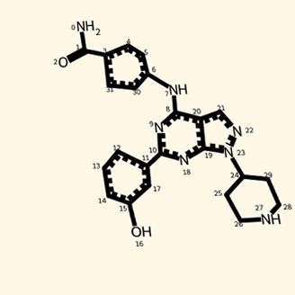 NC(=O)c1ccc(Nc2nc(-c3cccc(O)c3)nc3c2cnn3C2CCNCC2)cc1